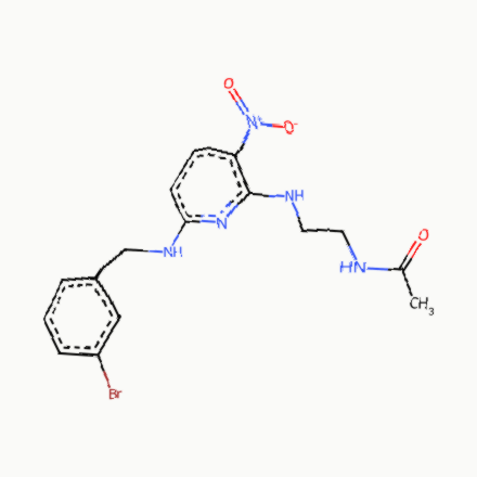 CC(=O)NCCNc1nc(NCc2cccc(Br)c2)ccc1[N+](=O)[O-]